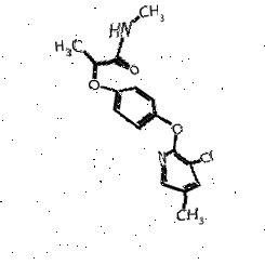 CNC(=O)C(C)Oc1ccc(Oc2ncc(C)cc2Cl)cc1